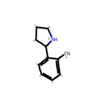 N#Cc1ccccc1C1CCCN1